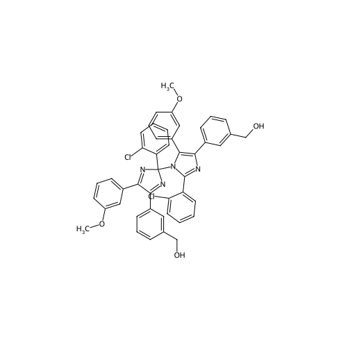 COc1cccc(C2=NC(c3ccccc3Cl)(n3c(-c4ccccc4Cl)nc(-c4cccc(CO)c4)c3-c3cccc(OC)c3)N=C2c2cccc(CO)c2)c1